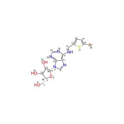 OC[C@H]1O[C@@H](n2cnc3c(NCc4ccc(Br)s4)ncnc32)C(O)C1O